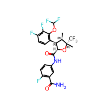 C[C@@H]1[C@H](c2ccc(F)c(F)c2OC(F)F)[C@H](C(=O)Nc2ccc(F)c(C(N)=O)c2)O[C@@]1(C)C(F)(F)F